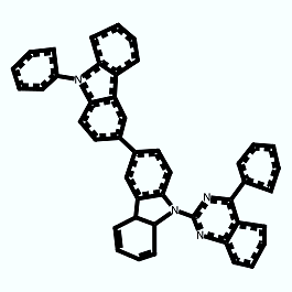 C1=CC2c3cc(-c4ccc5c(c4)c4ccccc4n5-c4ccccc4)ccc3N(c3nc(-c4ccccc4)c4ccccc4n3)C2C=C1